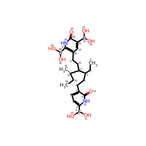 CCC(CCc1ccc(B(O)O)[nH]c1=O)C(CCc1cc(B(O)O)c(=O)[nH]c1B(O)O)[C@@H](C)CC